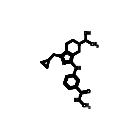 CNC(=O)c1cccc(Nc2nn(CC3CC3)c3c2CN(C(C)O)CC3)c1